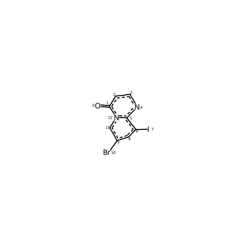 O=c1ccnc2c(I)cc(Br)cn12